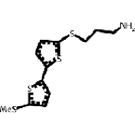 CSc1ccc(-c2ccc(SCCCN)s2)s1